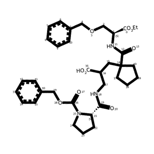 CCOC(=O)[C@H](COCc1ccccc1)NC(=O)C1(CC(CNC(=O)[C@@H]2CCCN2C(=O)OCc2ccccc2)C(=O)O)CCCC1